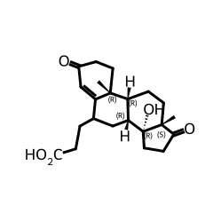 C[C@]12CCC(=O)C=C1C(CCC(=O)O)C[C@@H]1[C@H]2CC[C@]2(C)C(=O)CC[C@@]12O